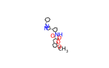 COc1cccc2cc(C(=O)Nc3cccc(-c4cnn(Cc5ccccc5)c4)c3)c(=O)oc12